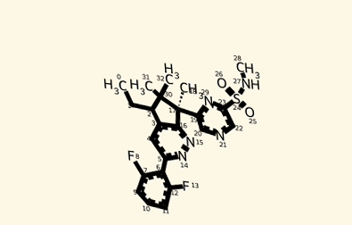 CCC1c2cc(-c3c(F)cccc3F)nnc2[C@](C)(c2cncc(S(=O)(=O)NC)n2)C1(C)C